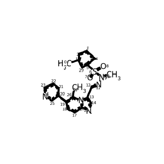 Cc1cccc(S(=O)(=O)N(C)N=Cc2cnc3ccc(-c4cccnc4)c(C)n23)c1